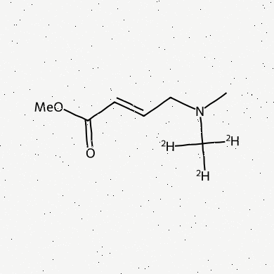 [2H]C([2H])([2H])N(C)C/C=C/C(=O)OC